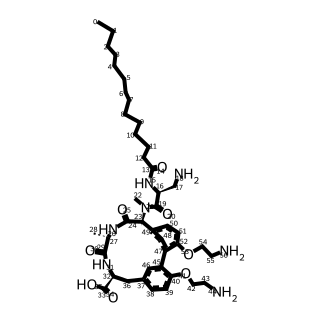 CCCCCCCCCCCCCC(=O)N[C@@H](CN)C(=O)N(C)[C@@H]1C(=O)N[C@@H](C)C(=O)N[C@H](C(=O)O)Cc2ccc(OCCN)c(c2)-c2cc1ccc2OCCN